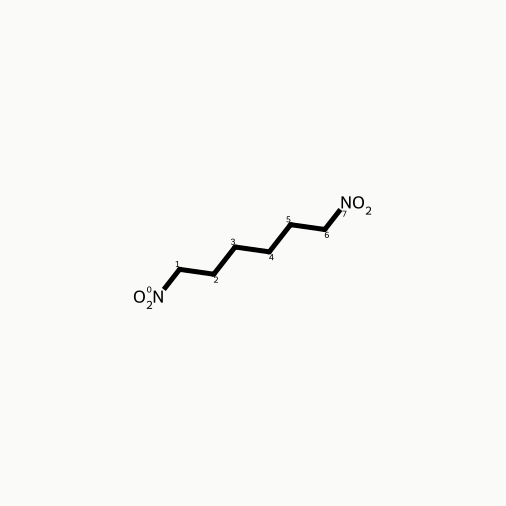 O=[N+]([O-])CCCCCC[N+](=O)[O-]